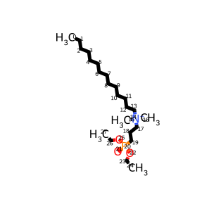 CCCCCCCCCCCCCC[N+](C)(C)CCCP(=O)(OCC)OCC